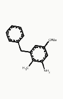 COc1cc(N)c(C)c(Cc2ccccc2)c1